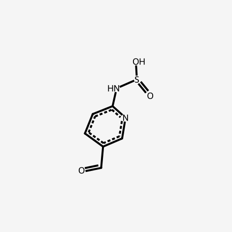 O=Cc1ccc(NS(=O)O)nc1